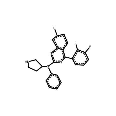 Fc1ccc2c(-c3cccc(F)c3F)nc(N(c3ccccc3)C3CCNC3)nc2c1